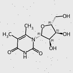 Cc1c(C)n([C@@H]2O[C@H](CO)[C@@H](O)[C@H]2O)c(=O)[nH]c1=O